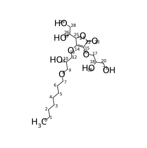 CCCCCCCCOCC(O)COC1=C(OCC(O)CO)C(=O)O[C@@H]1[C@@H](O)CO